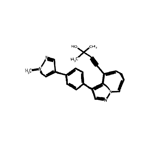 Cn1cc(-c2ccc(-c3cnn4cccc(C#CC(C)(C)O)c34)cc2)cn1